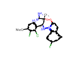 COc1ccc([C@H](Nn2c(=O)ccc3ccc(F)cc32)[C@@](O)(C(N)N)C(F)(F)F)c(Cl)c1F